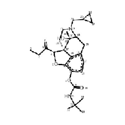 C=C(CC)[C@@H]1Oc2c(OC(=O)NC(C)(C)C)ccc3c2[C@@]12CCN(CC1CC1)C(C3)[C@@]2(C)O